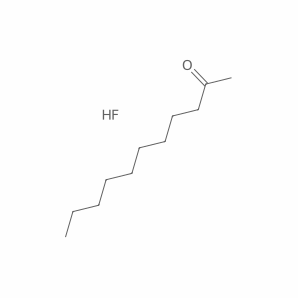 CCCCCCCCCC(C)=O.F